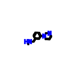 CNCc1cccc(N2C=CC=NC2)c1